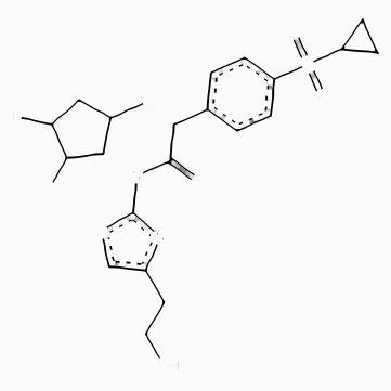 O=C(Nc1nc(CCO)cs1)[C@H](CC1CC(F)C(F)C1)c1ccc(S(=O)(=O)C2CC2)cc1